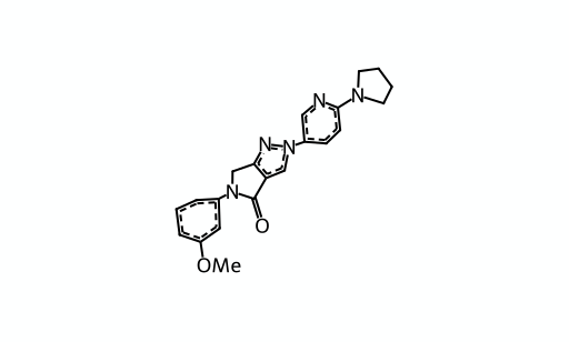 COc1cccc(N2Cc3nn(-c4ccc(N5CCCC5)nc4)cc3C2=O)c1